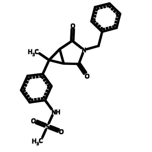 CC1(c2cccc(NS(C)(=O)=O)c2)C2C(=O)N(Cc3ccccc3)C(=O)C21